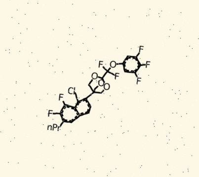 CCCc1cc2ccc(C34COC(C(F)(F)Oc5cc(F)c(F)c(F)c5)(OC3)OC4)c(Cl)c2c(F)c1F